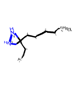 CCCCCCCCCCC1(CC(C)=O)NN1